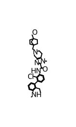 CCc1c(NC)cccc1-c1cccc(NC(=O)c2nc3c(n2C)CCN(CC24CCC(C=O)(CC2)C4)C3)c1Cl